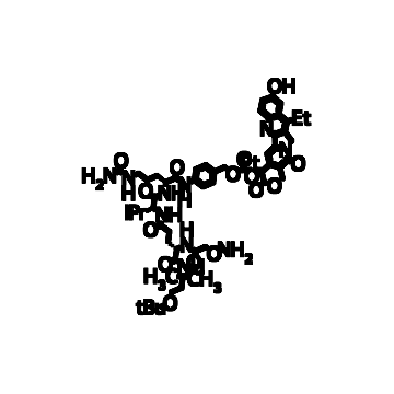 CCc1c2c(nc3ccc(O)cc13)-c1cc3c(c(=O)n1C2)COC(=O)[C@@]3(CC)OC(=O)OCc1ccc(NC(=O)[C@H](CCCNC(N)=O)NC(=O)[C@@H](NC(=O)CC[C@H](NC(=O)CON)C(=O)NC(C)(C)CCOC(C)(C)C)C(C)C)cc1